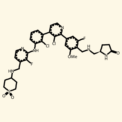 COc1cc(-c2nccc(-c3cccc(Nc4nccc(CNC5CCS(=O)(=O)CC5)c4F)c3Cl)c2Cl)cc(F)c1CNC[C@H]1CCC(=O)N1